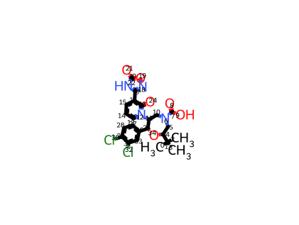 CC(C)(C)C1CN(C(=O)O)CC(n2cccc(-c3noc(=O)[nH]3)c2=O)C(c2ccc(Cl)c(Cl)c2)O1